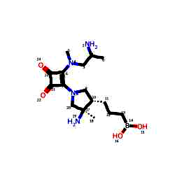 CC(N)CN(C)c1c(N2C[C@H](CCCB(O)O)[C@@](C)(N)C2)c(=O)c1=O